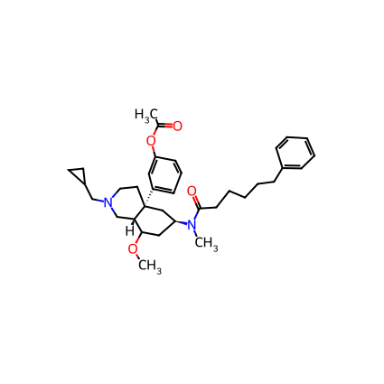 COC1C[C@H](N(C)C(=O)CCCCCc2ccccc2)C[C@]2(c3cccc(OC(C)=O)c3)CCN(CC3CC3)C[C@@H]12